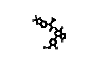 CC(C)Oc1ccc(-c2nn(CC(=O)N(c3ccc4c(c3)OC(F)(F)O4)C3CC3)c(=O)c3nc[nH]c23)cc1Cl